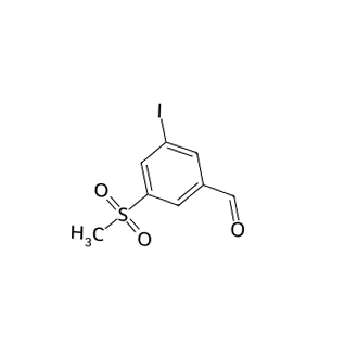 CS(=O)(=O)c1cc(I)cc(C=O)c1